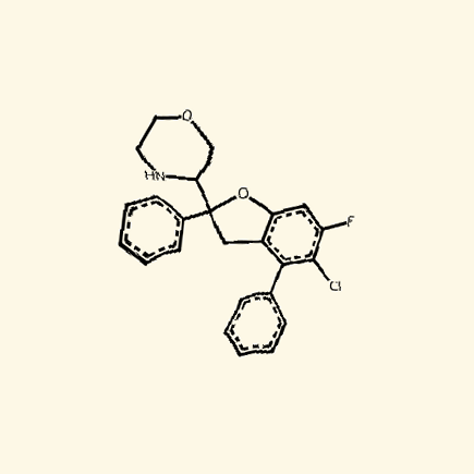 Fc1cc2c(c(-c3ccccc3)c1Cl)CC(c1ccccc1)(C1COCCN1)O2